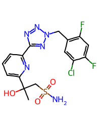 CC(O)(CS(N)(=O)=O)c1cccc(-c2nnn(Cc3cc(Cl)c(F)cc3F)n2)n1